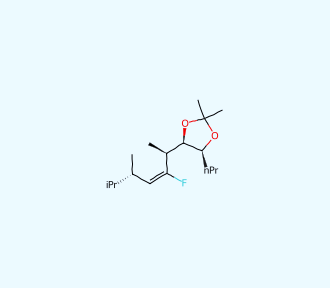 CCC[C@@H]1OC(C)(C)O[C@@H]1[C@H](C)/C(F)=C\[C@@H](C)C(C)C